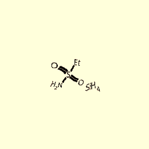 CCS(N)(=O)=O.[SiH4]